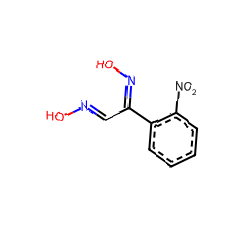 O=[N+]([O-])c1ccccc1C(C=NO)=NO